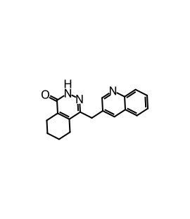 O=c1[nH]nc(Cc2cnc3ccccc3c2)c2c1CCCC2